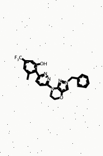 Cc1cc(C(F)(F)F)cc(O)c1-c1ccc(N2CCOc3cn(Cc4ccccc4)nc32)nn1